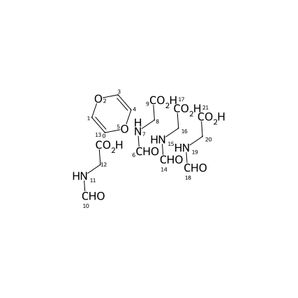 C1=COC=CO1.O=CNCC(=O)O.O=CNCC(=O)O.O=CNCC(=O)O.O=CNCC(=O)O